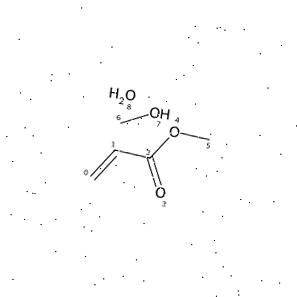 C=CC(=O)OC.CO.O